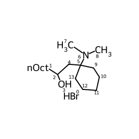 Br.CCCCCCCCC(O)CC1(N(C)C)CCCCC1